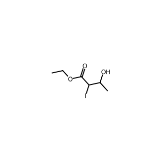 CCOC(=O)C(I)C(C)O